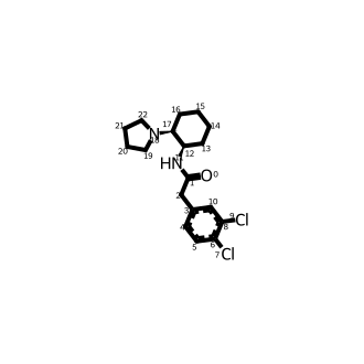 O=C(Cc1ccc(Cl)c(Cl)c1)N[C@@H]1CCCC[C@@H]1N1CCCC1